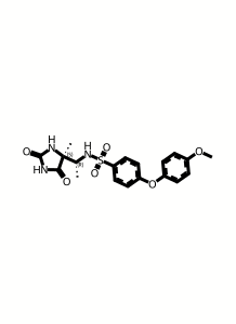 COc1ccc(Oc2ccc(S(=O)(=O)N[C@H](C)[C@]3(C)NC(=O)NC3=O)cc2)cc1